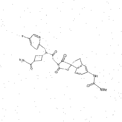 CNC(=O)Nc1ccc2c(c1)CC[C@@]21OC(=O)N(CC(=O)N(Cc2ccc(F)cc2)C2CC(C(N)=O)C2)C1=O